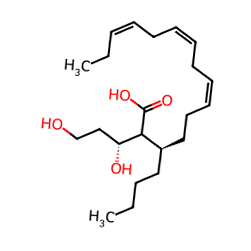 CC/C=C\C/C=C\C/C=C\CC[C@@H](CCCC)C(C(=O)O)[C@H](O)CCO